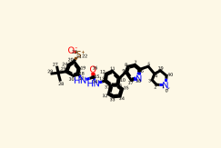 CN1CCC(Cc2ccc(-c3ccc(NC(=O)Nc4cc([S+](C)[O-])cc(C(C)(C)C)c4)c4ccccc34)cn2)CC1